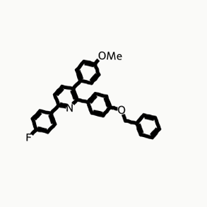 COc1ccc(-c2ccc(-c3ccc(F)cc3)nc2-c2ccc(OCc3ccccc3)cc2)cc1